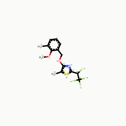 COc1c(C)cccc1COc1nc(C(F)C(F)(F)F)sc1C